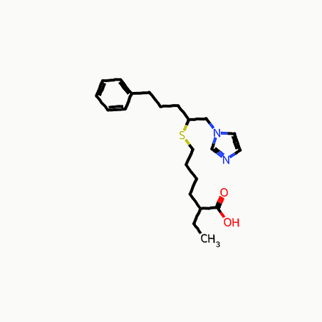 CCC(CCCCSC(CCCc1ccccc1)Cn1ccnc1)C(=O)O